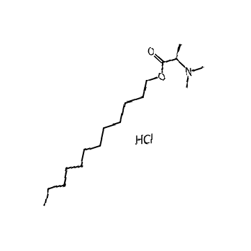 CCCCCCCCCCCCOC(=O)[C@@H](C)N(C)C.Cl